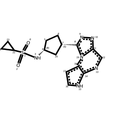 O=S(=O)(N[C@@H]1CC[C@H](c2nnc3cnc4[nH]ccc4n23)C1)C1CC1